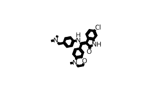 CN(C)Cc1ccc(NC(=C2C(=O)Nc3cc(Cl)ccc32)c2ccc3c(c2)OCCN3C)cc1